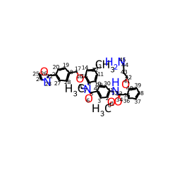 COc1cc(C(=O)N(C)c2ccc(C)cc2OCc2ccc(-c3ncco3)cc2)ccc1NC(=O)c1ccccc1OCCCN